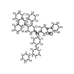 c1ccc(-c2cccc(-c3ccc(N(c4ccc(-c5c(-c6ccccc6)c6ccccc6c6ccccc56)cc4)c4ccc5c(c4)oc4ccccc45)cc3)c2)cc1